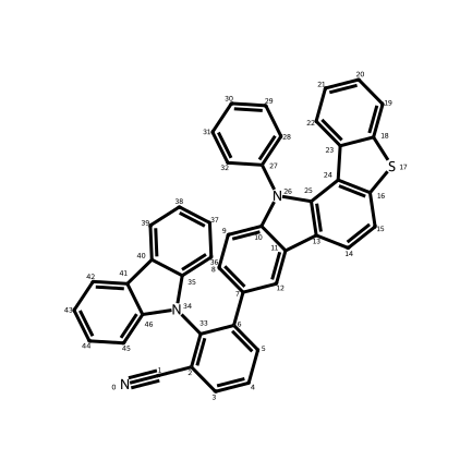 N#Cc1cccc(-c2ccc3c(c2)c2ccc4sc5ccccc5c4c2n3-c2ccccc2)c1-n1c2ccccc2c2ccccc21